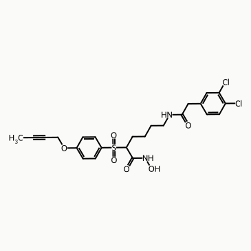 CC#CCOc1ccc(S(=O)(=O)C(CCCCNC(=O)Cc2ccc(Cl)c(Cl)c2)C(=O)NO)cc1